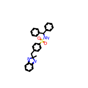 CC1(Cc2ccc(S(=O)(=O)NC(c3ccccc3)c3ccccc3)cc2)N=c2ccccc2=N1